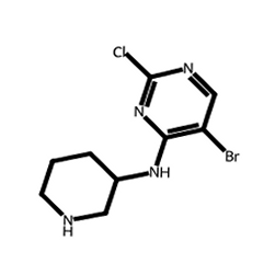 Clc1ncc(Br)c(NC2CCCNC2)n1